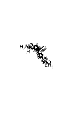 CC(=O)N1CCN(c2ccc(CCc3cccc(CC(=O)NN)c3)nc2)CC1.Cl.Cl.Cl